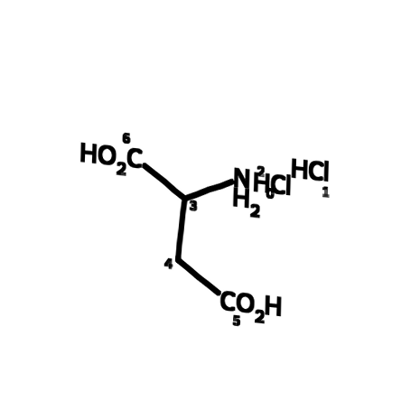 Cl.Cl.NC(CC(=O)O)C(=O)O